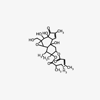 C/C=C/C(=O)OC1CC2(O)C(C(C)C1(C)OC(=O)C(C)CC)C1OC1(CO)C(O)C1(O)C(=O)C(C)=CC21